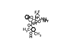 CCCNC(=O)[C@@H]1CC(F)(F)CN1C(=O)[C@@H](O)[C@H](Cc1ccccc1)NC(=O)c1ccc(C)c(O)c1C